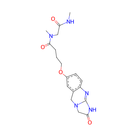 CNC(=O)CN(C)C(=O)CCCOc1ccc2c(c1)CN1CC(=O)NC1=N2